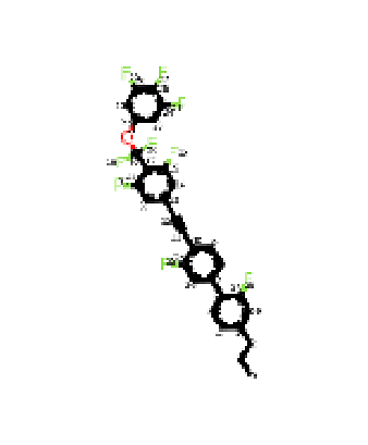 CCCc1ccc(-c2ccc(C#Cc3cc(F)c(C(F)(F)Oc4cc(F)c(F)c(F)c4)c(F)c3)c(F)c2)c(F)c1